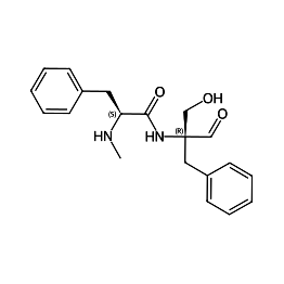 CN[C@@H](Cc1ccccc1)C(=O)N[C@@](C=O)(CO)Cc1ccccc1